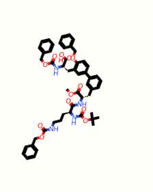 COC(=O)[C@H](Cc1cccc(-c2ccc(OCc3ccccc3)c(C[C@H](NC(=O)OCc3ccccc3)C(=O)O)c2)c1)NC(=O)[C@H](CCCNC(=O)OCc1ccccc1)NC(=O)OC(C)(C)C